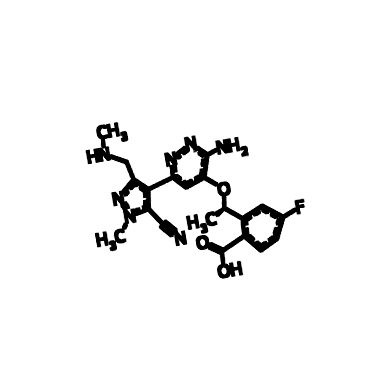 CNCc1nn(C)c(C#N)c1-c1cc(O[C@H](C)c2cc(F)ccc2C(=O)O)c(N)nn1